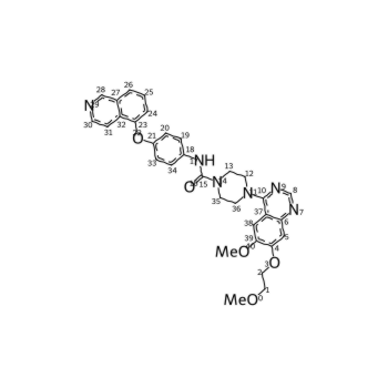 COCCOc1cc2ncnc(N3CCN(C(=O)Nc4ccc(Oc5cccc6cnccc56)cc4)CC3)c2cc1OC